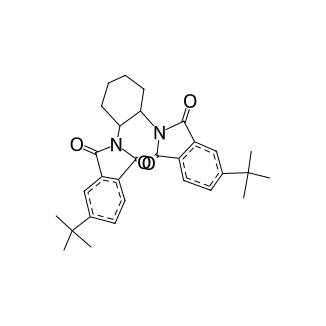 CC(C)(C)c1ccc2c(c1)C(=O)N(C1CCCCC1N1C(=O)c3ccc(C(C)(C)C)cc3C1=O)C2=O